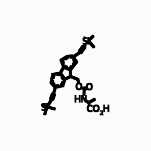 C[C@H](NC(=O)OCC1c2cc(C#C[Si](C)(C)C)ccc2-c2ccc(C#C[Si](C)(C)C)cc21)C(=O)O